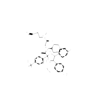 CCOc1cc(C(F)(F)F)ccc1C1(C(=O)N(CC(=O)N(C)CCC#N)C2CCNCC2)NC(c2ccc(Cl)cc2)C(c2ccc(Cl)cc2)N1